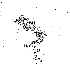 CCOC(=O)CCC(C)NC(=O)OC(=O)[C@]1(Oc2ccc(CC3Nc4cc(Cl)c(S(N)(=O)=O)cc4S(=O)(=O)N3)cc2)CCCN1